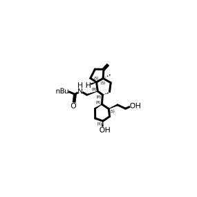 C=C1CC[C@H]2[C@H](CNC(=O)CCCC)[C@@H]([C@@H]3CC[C@H](O)C[C@@H]3CCO)CC[C@]12C